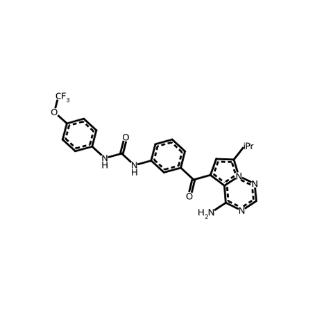 CC(C)c1cc(C(=O)c2cccc(NC(=O)Nc3ccc(OC(F)(F)F)cc3)c2)c2c(N)ncnn12